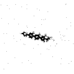 CC1COC(c2ccc(-c3ccc(-c4cc(F)c(/C(F)=C/C(F)(F)F)c(F)c4)c(F)c3)c(F)c2)OC1